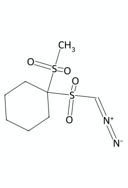 CS(=O)(=O)C1(S(=O)(=O)C=[N+]=[N-])CCCCC1